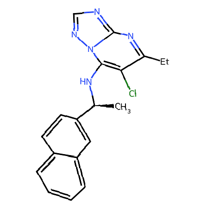 CCc1nc2ncnn2c(N[C@@H](C)c2ccc3ccccc3c2)c1Cl